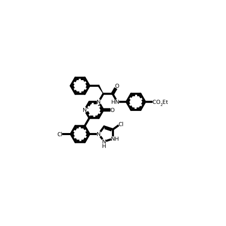 CCOC(=O)c1ccc(NC(=O)[C@H](Cc2ccccc2)n2cnc(-c3cc(Cl)ccc3N3C=C(Cl)NN3)cc2=O)cc1